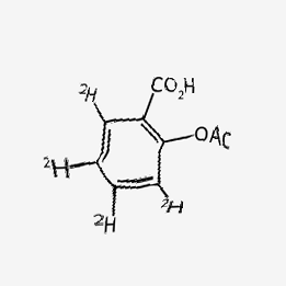 [2H]c1c([2H])c([2H])c(C(=O)O)c(OC(C)=O)c1[2H]